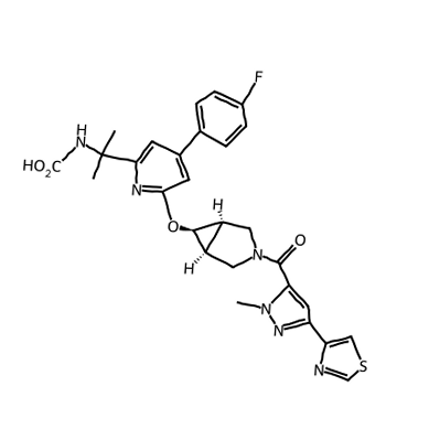 Cn1nc(-c2cscn2)cc1C(=O)N1C[C@@H]2[C@H](C1)[C@@H]2Oc1cc(-c2ccc(F)cc2)cc(C(C)(C)NC(=O)O)n1